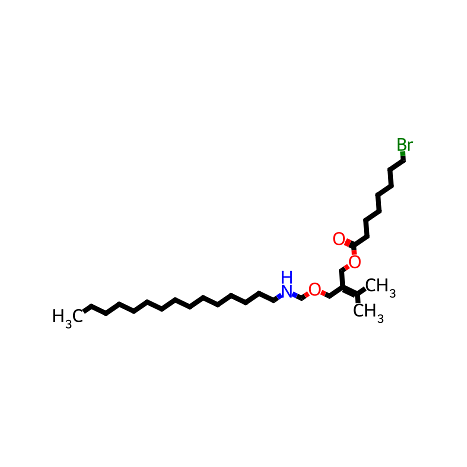 CCCCCCCCCCCCCCCNCOCC(COC(=O)CCCCCCCBr)=C(C)C